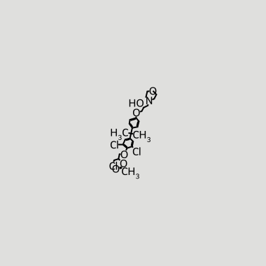 CC(=O)OC(CCl)COc1c(Cl)cc(C(C)(C)c2ccc(OCC(O)CN3CCOCC3)cc2)cc1Cl